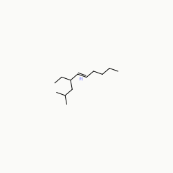 CCCC/C=C/C(CC)CC(C)C